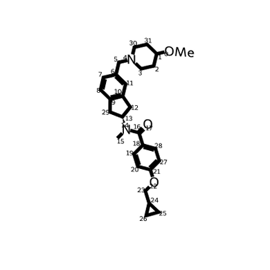 COC1CCN(Cc2ccc3c(c2)C[C@H](N(C)C(=O)c2ccc(OCC4CC4)cc2)C3)CC1